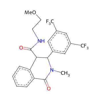 COCCNC(=O)C1c2ccccc2C(=O)N(C)C1c1cc(C(F)(F)F)cc(C(F)(F)F)c1